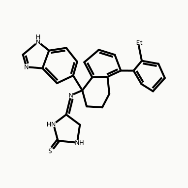 CCc1ccccc1-c1cccc2c1CCCC2(N=C1CNC(=S)N1)c1ccc2[nH]cnc2c1